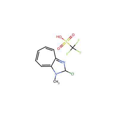 CN1C2=CC=CC=CC2=NC1Cl.O=S(=O)(O)C(F)(F)F